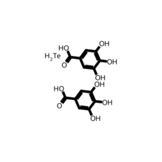 O=C(O)c1cc(O)c(O)c(O)c1.O=C(O)c1cc(O)c(O)c(O)c1.[TeH2]